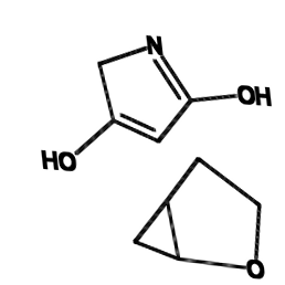 C1CC2CC2O1.OC1=CC(O)=NC1